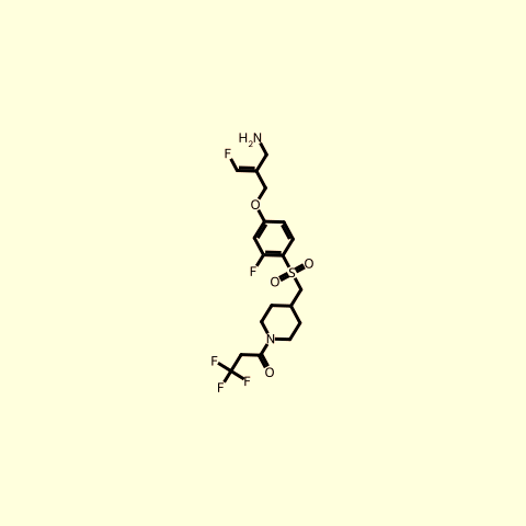 NCC(=CF)COc1ccc(S(=O)(=O)CC2CCN(C(=O)CC(F)(F)F)CC2)c(F)c1